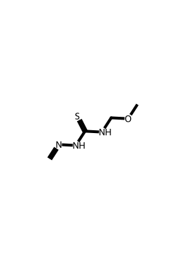 C=NNC(=S)NCOC